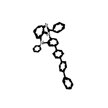 c1ccc(-c2ccc(-c3ccc(-c4ccc5c(c4)N(c4ccccc4)c4cccc6nc(-c7ccccc7)n-5c46)cc3)cc2)cc1